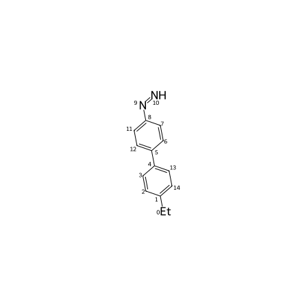 CCc1ccc(-c2ccc(N=N)cc2)cc1